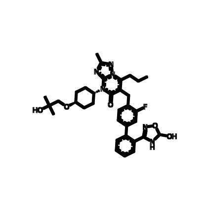 CCCc1c(Cc2ccc(-c3ccccc3C3=NOC(O)N3)cc2F)c(=O)n([C@H]2CC[C@H](OCC(C)(C)O)CC2)c2nc(C)nn12